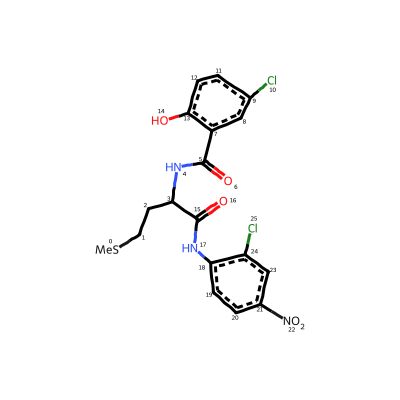 CSCCC(NC(=O)c1cc(Cl)ccc1O)C(=O)Nc1ccc([N+](=O)[O-])cc1Cl